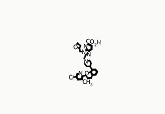 Cc1cc(Cl)cnc1C1C=Cc2cccc(C3CCN(Cc4nc5ccc(C(=O)O)nc5n4CC4CCO4)CC3)c2O1